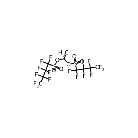 CC(OS(=O)(=O)C(F)(F)C(F)(F)C(F)(F)C(F)(F)F)OS(=O)(=O)C(F)(F)C(F)(F)C(F)(F)C(F)(F)F